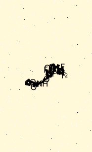 C=C(c1ccc(F)cc1F)c1ccc(=O)n(-c2c(F)cc(OCCCNC(C)(C)C(=O)OC3CCCC3)cc2F)c1N